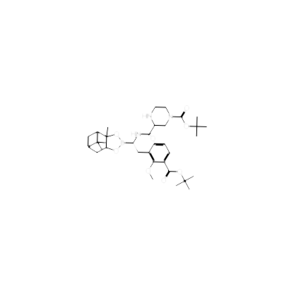 COc1c(C[C@H](NC(=O)C2CN(C(=O)OC(C)(C)C)CCN2)B2OC3CC4CC(C4(C)C)C3(C)O2)cccc1C(=O)OC(C)(C)C